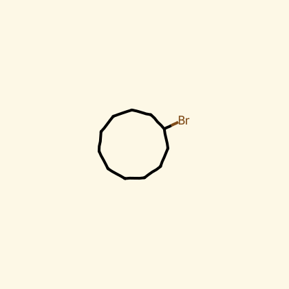 BrC1CCCCCCCCCC1